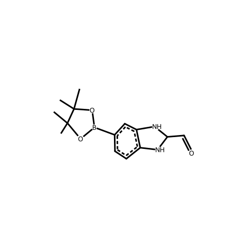 CC1(C)OB(c2ccc3c(c2)NC(C=O)N3)OC1(C)C